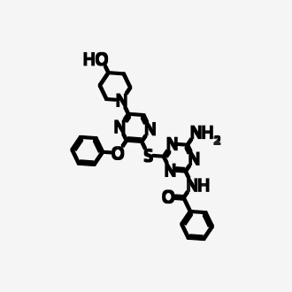 Nc1nc(NC(=O)c2ccccc2)nc(Sc2ncc(N3CCC(O)CC3)nc2Oc2ccccc2)n1